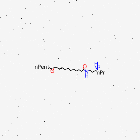 CCCCCC1OC1CC=CCCCCCCCC(=O)NCCC(N)CCC